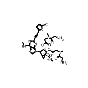 CNC(=O)[C@@]12CC1C(n1cnc3c(NC)nc(C#Cc4ccc(Cl)s4)nc31)[C@H](OC(=O)CN(C)C(=O)CN)[C@@H]2OC(=O)CN(C)C(=O)CN